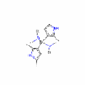 CC[N](C)[Zr]([c]1cc(C)[nH]c1C)([c]1cc(C)[nH]c1C)[N](C)CC